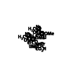 COc1cc2c3ccnc(C)c3c(=O)n(C)c2cc1Cl.COc1cc2c3ccnc(C)c3c(=O)n(C)c2cc1OCC(C)(CC(C)C)N(C(=O)O)C(C)(C)C